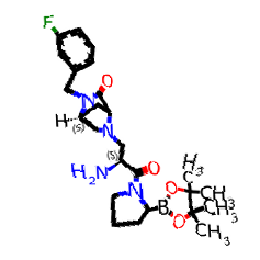 CC1(C)OB(C2CCCN2C(=O)[C@@H](N)CN2C[C@@H]3CC2C(=O)N3Cc2cccc(F)c2)OC1(C)C